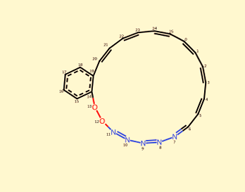 C1=CC=CC=CC=NN=NN=NOOc2ccccc2C=CC=CC=C1